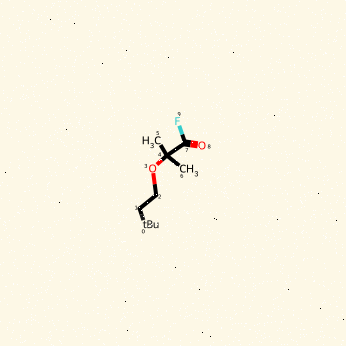 CC(C)(C)CCOC(C)(C)C(=O)F